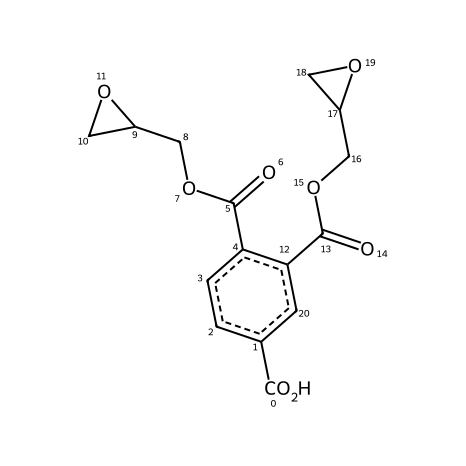 O=C(O)c1ccc(C(=O)OCC2CO2)c(C(=O)OCC2CO2)c1